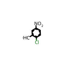 [CH]c1cc([N+](=O)[O-])ccc1Cl